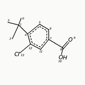 CC(C)(C)c1ccc(C(=O)O)cc1Cl